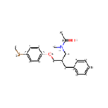 CSc1ccc(OCC(Cc2ccccc2)CN(C)C(C)=O)cc1